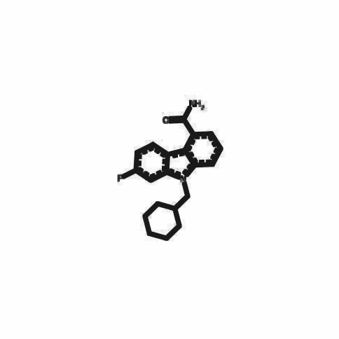 NC(=O)c1cccc2c1c1[c]cc(F)cc1n2CC1CCCCC1